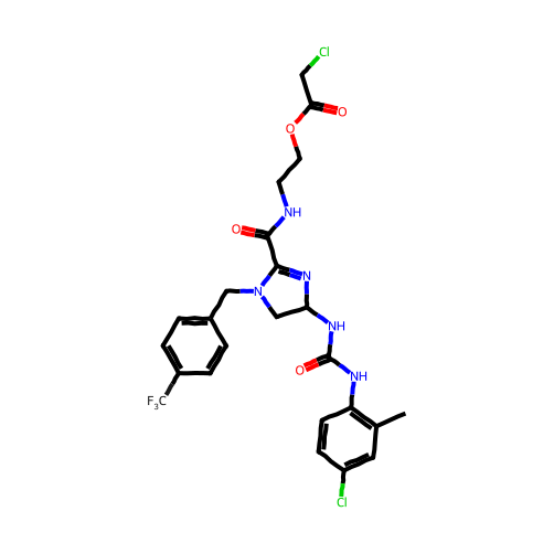 Cc1cc(Cl)ccc1NC(=O)NC1CN(Cc2ccc(C(F)(F)F)cc2)C(C(=O)NCCOC(=O)CCl)=N1